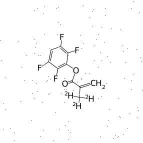 [2H]C([2H])([2H])C(=C)C(=O)Oc1c(F)c(F)cc(F)c1F